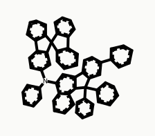 c1ccc(-c2ccc3c(c2)C(c2ccccc2)(c2ccccc2)c2c-3cc(N(c3ccccc3)c3ccc4c(c3)C3(c5ccccc5-c5ccccc53)c3ccccc3-4)c3ccccc23)cc1